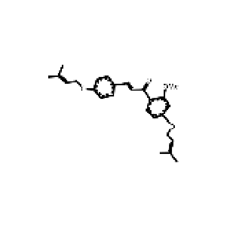 COc1cc(OCC=C(C)C)ccc1C(=O)C=Cc1ccc(OCC=C(C)C)cc1